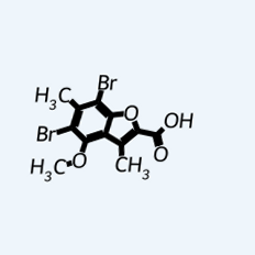 COc1c(Br)c(C)c(Br)c2oc(C(=O)O)c(C)c12